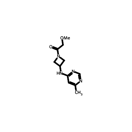 COCC(=O)N1CC(Nc2cc(C)ncn2)C1